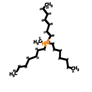 CCCCCCC[PH](C)(CCCCCCC)CCCCCCC